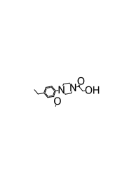 CCc1ccc(N2CCN(C(=O)CO)CC2)c(OC)c1